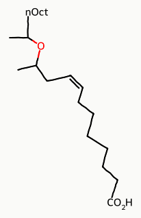 CCCCCCCCC(C)OC(C)C/C=C\CCCCCCC(=O)O